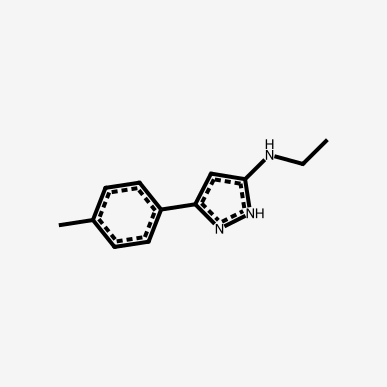 CCNc1cc(-c2ccc(C)cc2)n[nH]1